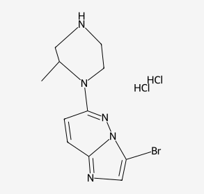 CC1CNCCN1c1ccc2ncc(Br)n2n1.Cl.Cl